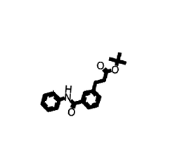 CC(C)(C)OC(=O)CCc1cccc(C(=O)Nc2[c]cccc2)c1